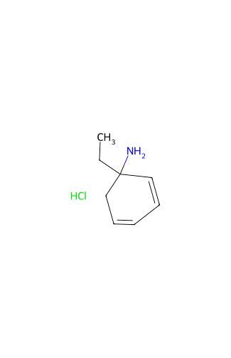 CCC1(N)C=CC=CC1.Cl